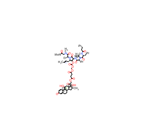 C/C=C/C[C@@H]1[C@@H](OC(=O)OCOC(=O)CCC(=O)OCC(=O)[C@@]2(O)[C@H](C)CC3C4CCC5=CC(=O)C=C[C@]5(C)[C@@]4(F)[C@@H](O)C[C@@]32C)[C@H](N(C)C(=O)[C@H](C(C)C)N(C)C(=O)[C@H](CC(C)C)N(C)C(=O)CCC(C)C)C(=O)N1[C@@H](CC)C(=O)N(C)CC(=O)NC